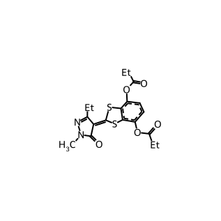 CCC(=O)Oc1ccc(OC(=O)CC)c2c1SC(=C1C(=O)N(C)N=C1CC)S2